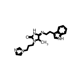 CC1C(=NCCc2c[nH]c3ccccc23)NC(=O)N1CCCn1ccnc1